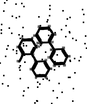 Cc1cccnc1-c1ccccc1.c1ccc(-c2ccccn2)cc1